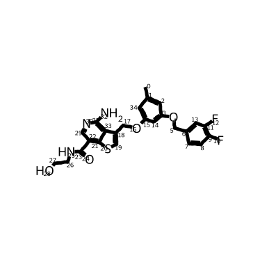 Cc1cc(OCc2ccc(F)c(F)c2)cc(OCc2csc3c(C(=O)NCCO)cnc(N)c23)c1